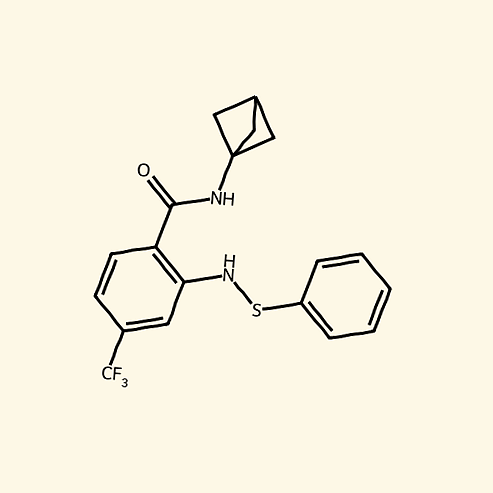 O=C(NC12CC(C1)C2)c1ccc(C(F)(F)F)cc1NSc1ccccc1